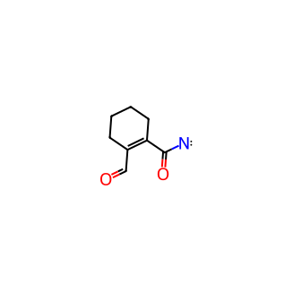 [N]C(=O)C1=C(C=O)CCCC1